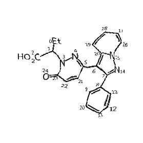 CCC(C(=O)O)n1nc(-c2c(-c3ccccc3)nn3ccccc23)ccc1=O